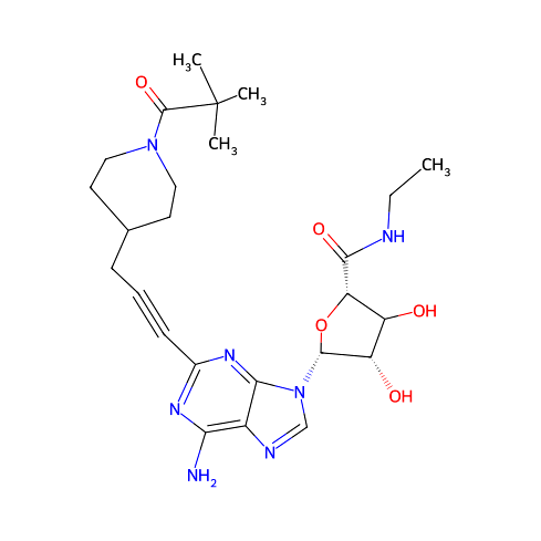 CCNC(=O)[C@H]1O[C@@H](n2cnc3c(N)nc(C#CCC4CCN(C(=O)C(C)(C)C)CC4)nc32)[C@@H](O)C1O